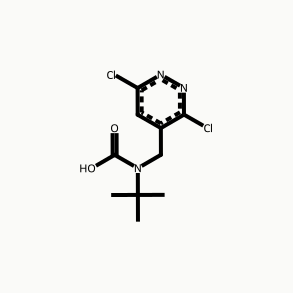 CC(C)(C)N(Cc1cc(Cl)nnc1Cl)C(=O)O